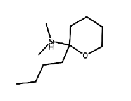 CCCCC1([SiH](C)C)CCCCO1